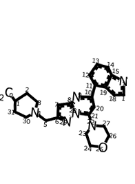 O=C(O)C1CCN(Cc2cc3nc(-c4cccc5[nH]ccc45)cc(N4CCOCC4)n3n2)CC1